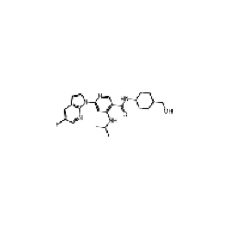 CC(C)Nc1cc(-n2ccc3cc(F)cnc32)ncc1C(=O)NC1CCC(CO)CC1